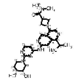 CC(C)c1ncc(N2CC(C(=O)N(C)C)C2)c2cnc(Nc3ccnc(N4CC[C@@H](O)[C@@H](O)C4)n3)cc12